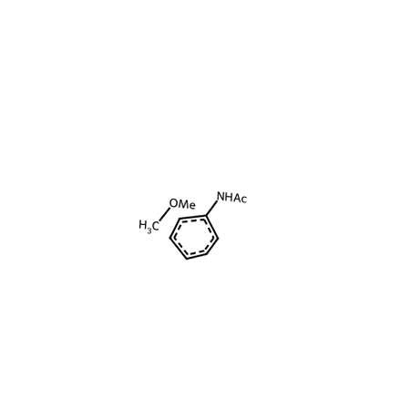 CC(=O)Nc1ccccc1.COC